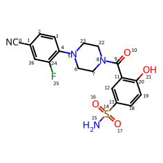 N#Cc1ccc(N2CCN(C(=O)c3cc(S(N)(=O)=O)ccc3O)CC2)c(F)c1